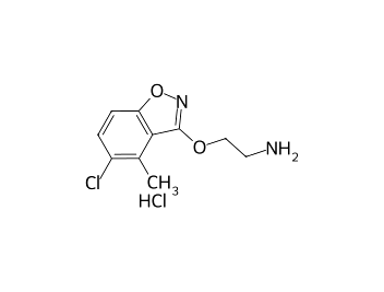 Cc1c(Cl)ccc2onc(OCCN)c12.Cl